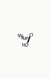 OCl.[Mn].[NaH]